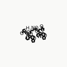 COc1ccsc1CN(CC[C@@]1(c2ccccn2)CCOC2(CCCC2)C1)OC(=O)CC[C@H](N)C(=O)ON(CC[C@@]1(c2ccccn2)CCOC2(CCCC2)C1)Cc1sccc1OC